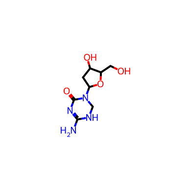 NC1=NC(=O)N(C2CC(O)C(CO)O2)CN1